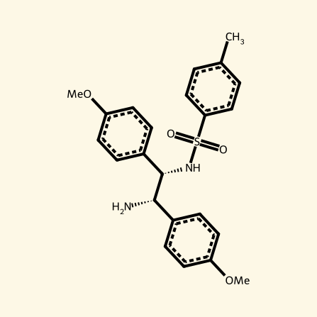 COc1ccc([C@H](N)[C@@H](NS(=O)(=O)c2ccc(C)cc2)c2ccc(OC)cc2)cc1